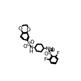 O=S(=O)(N[C@H]1CC[C@H](NS(=O)(=O)c2c(F)cccc2F)CC1)c1ccc2c(c1)OCCO2